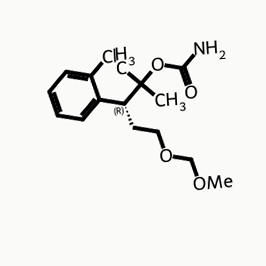 COCOCC[C@H](c1ccccc1Cl)C(C)(C)OC(N)=O